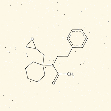 CC(=O)N(CCc1ccccc1)C1(CC2CO2)CCCCC1